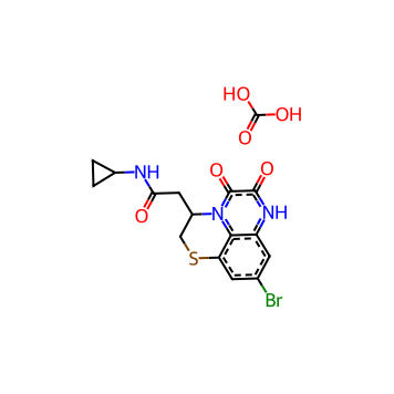 O=C(CC1CSc2cc(Br)cc3[nH]c(=O)c(=O)n1c23)NC1CC1.O=C(O)O